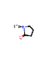 O=C1CCC[N]1[PoH]